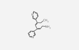 CC/C(=C\C(=C/CN)c1cccnc1)c1cccnc1